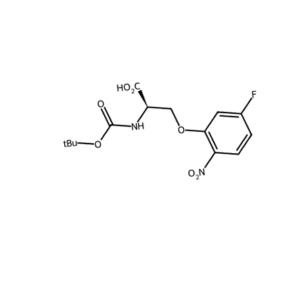 CC(C)(C)OC(=O)N[C@H](COc1cc(F)ccc1[N+](=O)[O-])C(=O)O